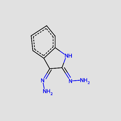 NN=C1Nc2ccccc2C1=NN